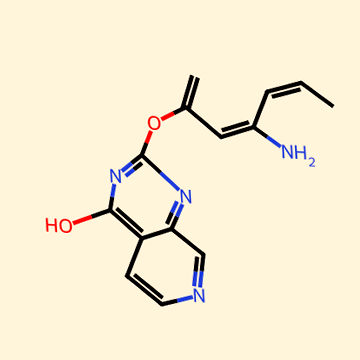 C=C(/C=C(N)\C=C/C)Oc1nc(O)c2ccncc2n1